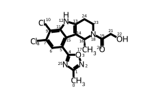 Cc1noc(-c2cc(Cl)c(Cl)c3[nH]c4c(c23)[C@H](C)N(C(=O)CO)CC4)n1